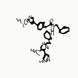 Cn1cc(-c2ccc(C(C(=O)NCc3ccccc3)[C@H]3CC[C@H](Cc4ncc(C#N)c(-c5cn[nH]c5)n4)CC3)cc2)cn1